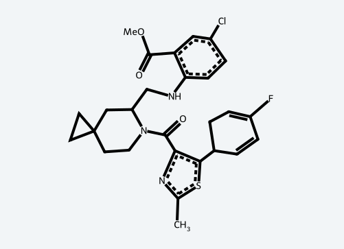 COC(=O)c1cc(Cl)ccc1NCC1CC2(CCN1C(=O)c1nc(C)sc1C1C=CC(F)=CC1)CC2